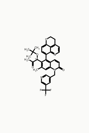 CC(=O)[C@@H](OC(C)(C)C)c1c(C)cc2c(ccc(=O)n2Cc2cncc(C(F)(F)F)c2)c1-c1ccc2c3c(ccnc13)CCO2